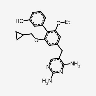 CCOc1cc(Cc2cnc(N)nc2N)cc(OCC2CC2)c1-c1cccc(O)c1